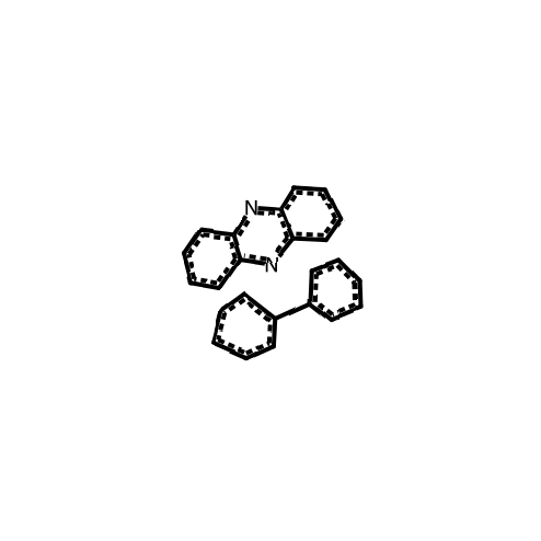 c1ccc(-c2ccccc2)cc1.c1ccc2nc3ccccc3nc2c1